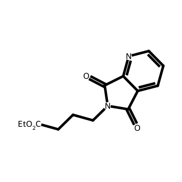 CCOC(=O)CCCN1C(=O)c2cccnc2C1=O